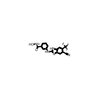 N#Cc1cc2nc(Nc3cccc(C(=O)NO)c3)[nH]c2cc1C(F)(F)F